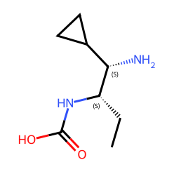 CC[C@H](NC(=O)O)[C@@H](N)C1CC1